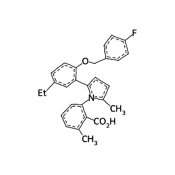 CCc1ccc(OCc2ccc(F)cc2)c(-c2ccc(C)n2-c2cccc(C)c2C(=O)O)c1